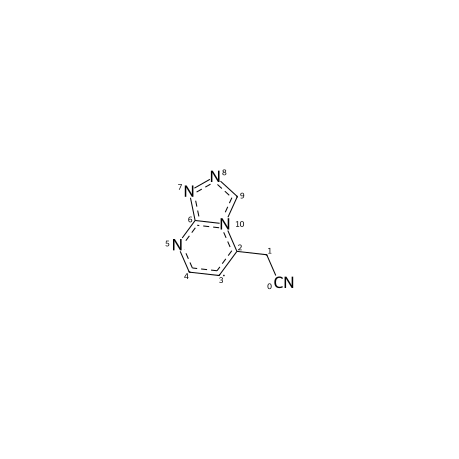 N#CCc1[c]cnc2nncn12